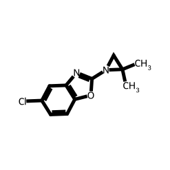 CC1(C)CN1c1nc2cc(Cl)ccc2o1